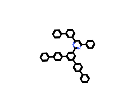 c1ccc(-c2ccc(-c3cc(-c4ccc(-c5ccccc5)cc4)cc(-c4nc(-c5ccccc5)cc(-c5cccc(-c6ccccc6)c5)n4)c3)cc2)cc1